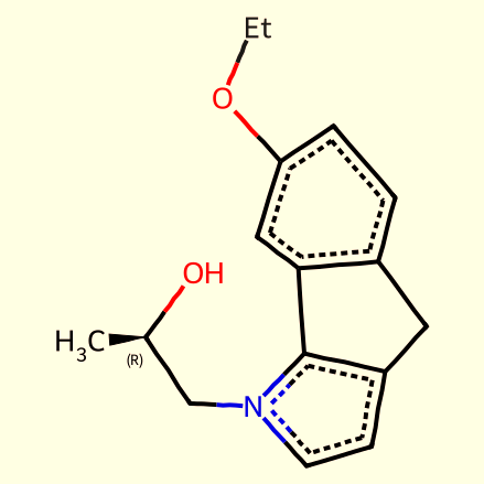 CCOc1ccc2c(c1)-c1c(ccn1C[C@@H](C)O)C2